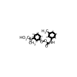 Cc1cccc(NC(=O)OOc2cccc(N(C)C(=O)O)c2)c1